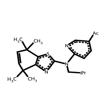 CC(=O)c1ccc(N(CC(C)C)c2nc3c(s2)C(C)(C)C=CC3(C)C)nc1